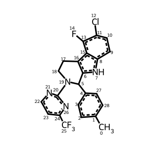 Cc1ccc(C2c3[nH]c4ccc(Cl)c(F)c4c3CCN2c2nccc(C(F)(F)F)n2)cc1